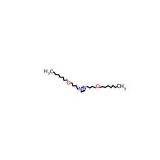 CCCCCCCCOCCCCn1cc[n+](CCCCOCCCCCCCC)c1